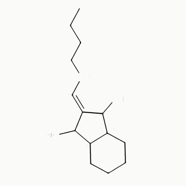 CCCCOC=C1C(O)C2CCCCC2C1O